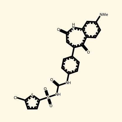 CNc1ccc2c(=O)c(-c3ccc(NC(=O)NS(=O)(=O)c4ccc(Cl)s4)cc3)cc(=O)[nH]c2c1